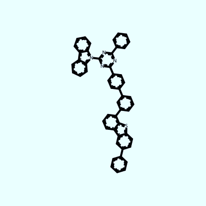 c1ccc(-c2ccc3sc4c(-c5cccc(-c6ccc(-c7nc(-c8ccccc8)nc(-n8c9ccccc9c9ccccc98)n7)cc6)c5)cccc4c3c2)cc1